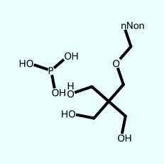 CCCCCCCCCCOCC(CO)(CO)CO.OP(O)O